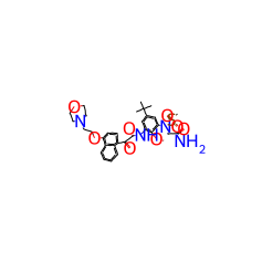 COc1c(NC(=O)C(=O)c2ccc(OCCN3CCOCC3)c3ccccc23)cc(C(C)(C)C)cc1N(CC(N)=O)S(C)(=O)=O